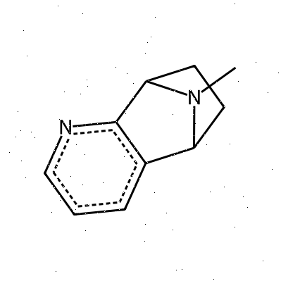 CN1C2CCC1c1ncccc12